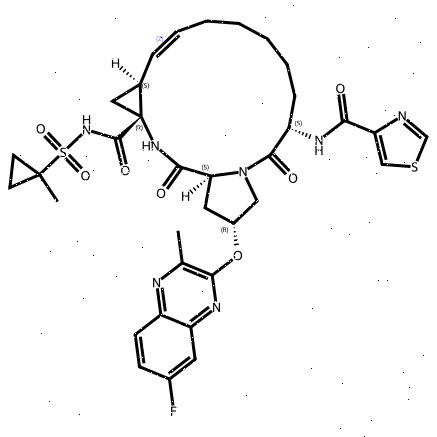 Cc1nc2ccc(F)cc2nc1O[C@@H]1C[C@H]2C(=O)N[C@]3(C(=O)NS(=O)(=O)C4(C)CC4)C[C@H]3/C=C\CCCCC[C@H](NC(=O)c3cscn3)C(=O)N2C1